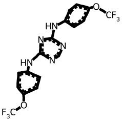 FC(F)(F)Oc1ccc(Nc2ncnc(Nc3ccc(OC(F)(F)F)cc3)n2)cc1